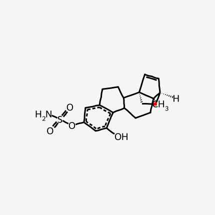 C[C@]12CCC3c4c(O)cc(OS(N)(=O)=O)cc4CCC3[C@@]13C=C[C@H]2CC3